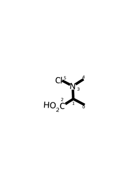 CC(C(=O)O)N(C)Cl